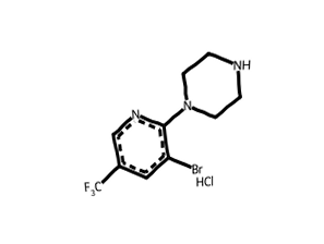 Cl.FC(F)(F)c1cnc(N2CCNCC2)c(Br)c1